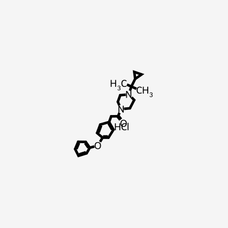 CC(C)(C1CC1)N1CCN(C(=O)Cc2ccc(Oc3ccccc3)cc2)CC1.Cl